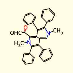 CN1C=C2C(=C(C(=O)C=O)N(C)C(c3ccccc3)=C2c2ccccc2)C(c2ccccc2)=C1c1ccccc1